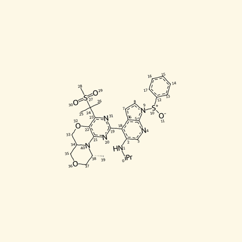 CC(C)Nc1cnc2c(ccn2[S+]([O-])c2ccccc2)c1-c1nc2c(c(C(C)(C)S(C)(=O)=O)n1)OCC1COC[C@@H](C)N21